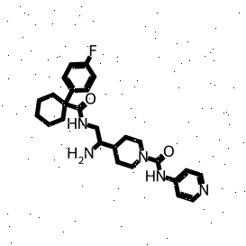 NC(CNC(=O)C1(c2ccc(F)cc2)CCCCC1)C1CCN(C(=O)Nc2ccncc2)CC1